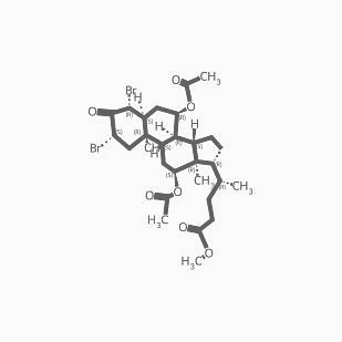 COC(=O)CC[C@@H](C)[C@H]1CC[C@H]2[C@@H]3[C@H](OC(C)=O)C[C@@H]4[C@@H](Br)C(=O)[C@@H](Br)C[C@]4(C)[C@H]3C[C@H](OC(C)=O)[C@]12C